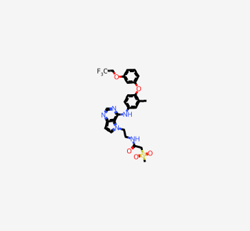 Cc1cc(Nc2ncnc3ccn(CCNC(=O)CS(C)(=O)=O)c23)ccc1Oc1cccc(OCC(F)(F)F)c1